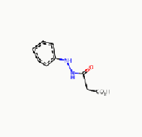 O=C(O)CC(=O)NNc1ccccc1